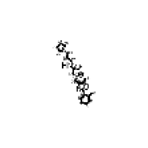 Cc1ccccc1-c1nc(C[S+]([O-])CC(=O)NCCCN2CCCC2)c(C)o1